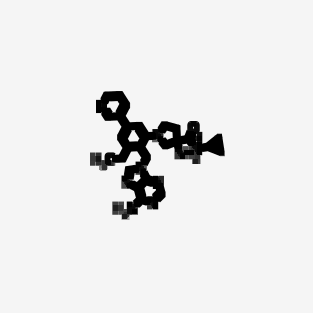 CCc1cc(-c2cccnc2)cc(N2CCC(N)(C(=O)NC3CC3)C2)c1Cn1cnc2c(N)ncnc21